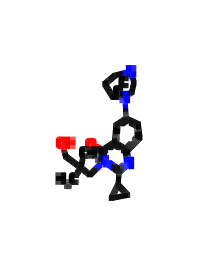 CC(C)(CO)Cn1c(C2CC2)nc2ccc(N3CCN4CCC3CC4)cc2c1=O